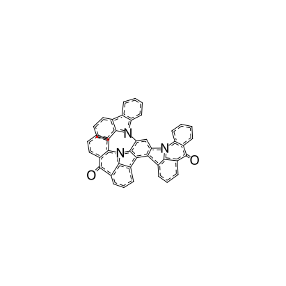 O=c1c2ccccc2n2c3cc(-n4c5ccccc5c5ccccc54)c4c(c5cccc6c(=O)c7ccccc7n4c65)c3c3cccc1c32